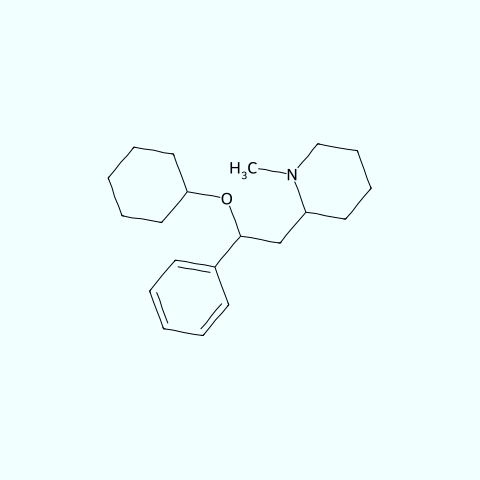 CN1CCCCC1CC(OC1CCCCC1)c1ccccc1